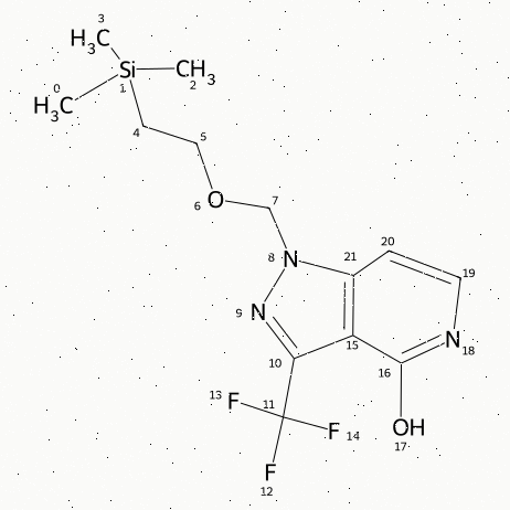 C[Si](C)(C)CCOCn1nc(C(F)(F)F)c2c(O)nccc21